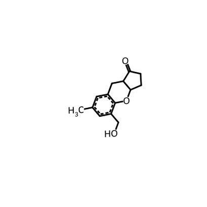 Cc1cc(CO)c2c(c1)CC1C(=O)CCC1O2